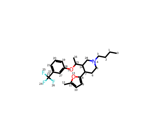 CCCCN1CCC(c2ccc(C)o2)C(C(C)Oc2cccc(C(F)(F)F)c2)C1